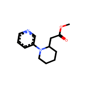 COC(=O)CC1CCCCN1c1[c]nccc1